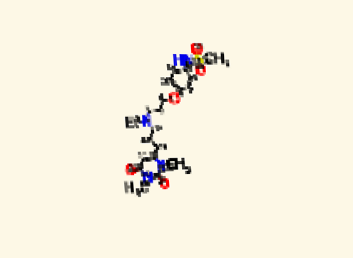 CCN(CCCOc1ccc(NS(C)(=O)=O)cc1)CCCc1cc(=O)n(C)c(=O)n1C